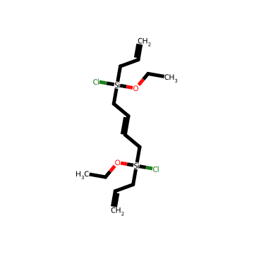 C=CC[Si](Cl)(C/C=C/C[Si](Cl)(CC=C)OCC)OCC